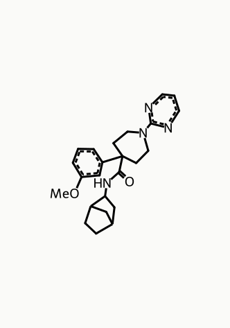 COc1cccc(C2(C(=O)NC3CC4CCC3C4)CCN(c3ncccn3)CC2)c1